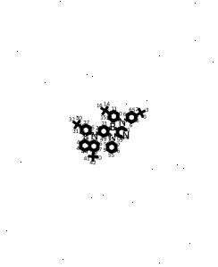 CC(C)(C)c1ccc(N2c3ccc(C(C)(C)C)cc3B3c4ccc(N(c5ccc(C(C)(C)C)cc5)c5ccc(C(C)(C)C)c6ccccc56)cc4N(c4ccccc4)c4cncc2c43)cc1